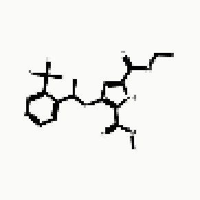 CCNC(=O)c1cc(OC(C)c2ccccc2C(F)(F)F)c(C(=O)NC)[nH]1